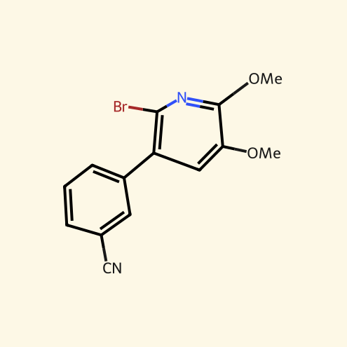 COc1cc(-c2cccc(C#N)c2)c(Br)nc1OC